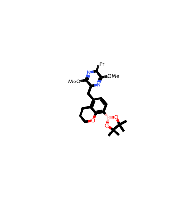 COC1=NC(C(C)C)C(OC)=NC1Cc1ccc(B2OC(C)(C)C(C)(C)O2)c2c1CCCO2